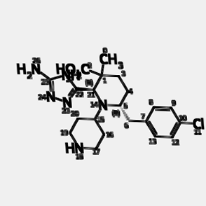 CC1(C(=O)O)CC[C@H](Cc2ccc(Cl)cc2)N(C2CCNCC2)[C@H]1c1nnc(N)[nH]1